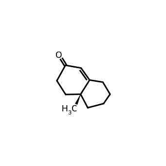 C[C@]12CCCCC1=CC(=O)CC2